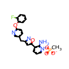 CP(=O)([O-])O[n+]1cccc(-c2cc(Cc3ccc(Oc4ccccc4F)nc3)no2)c1N